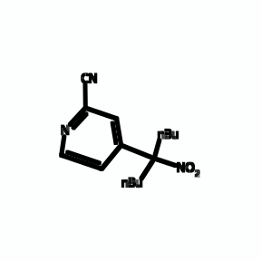 CCCCC(CCCC)(c1ccnc(C#N)c1)[N+](=O)[O-]